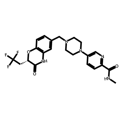 CNC(=O)c1ccc(N2CCN(Cc3ccc4c(c3)NC(=O)[C@H](CC(F)(F)F)O4)CC2)cn1